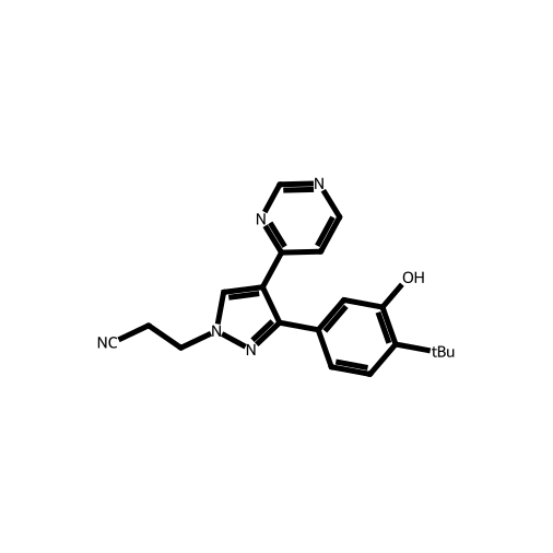 CC(C)(C)c1ccc(-c2nn(CCC#N)cc2-c2ccncn2)cc1O